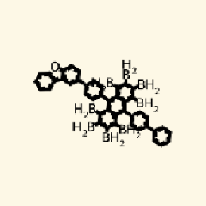 Bc1c(B)c(B)c2c(-c3ccc(-c4ccc5oc6ccccc6c5c4)cc3)c3c(B)c(B)c(B)c(B)c3c(-c3ccc(-c4ccccc4)cc3)c2c1B